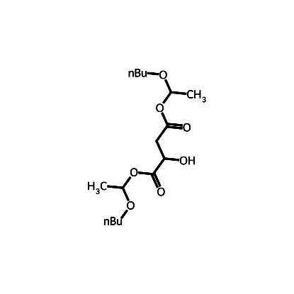 CCCCOC(C)OC(=O)CC(O)C(=O)OC(C)OCCCC